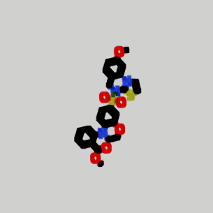 COC(=O)c1ccccc1N1CCOc2cc(S(=O)(=O)N(Cc3ccc(OC)cc3)c3nccs3)ccc21